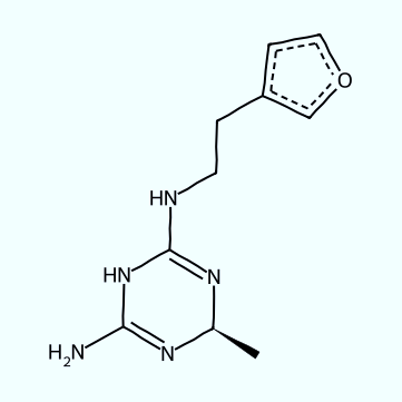 C[C@H]1N=C(N)NC(NCCc2ccoc2)=N1